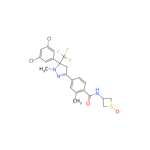 Cc1cc(C2=NN(C)C(c3cc(Cl)cc(Cl)c3)(C(F)(F)F)C2)ccc1C(=O)NC1C[S+]([O-])C1